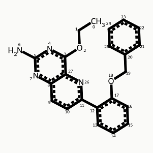 CCOc1nc(N)nc2ccc(-c3ccccc3OCc3ccccc3)nc12